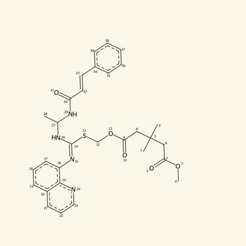 COC(=O)CC(C)(C)CC(=O)OCS/C(=N/c1cccc2cccnc12)NC(C)NC(=O)/C=C/c1ccccc1